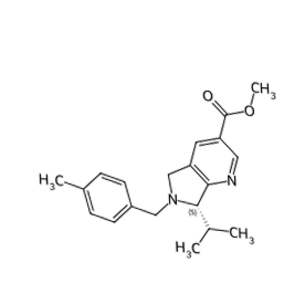 COC(=O)c1cnc2c(c1)CN(Cc1ccc(C)cc1)[C@H]2C(C)C